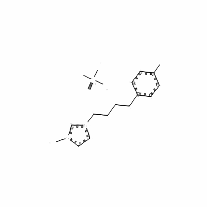 CCCCCCC[n+]1ccn(CCCCc2ccc(F)cc2)c1.O=P([O-])(O)O